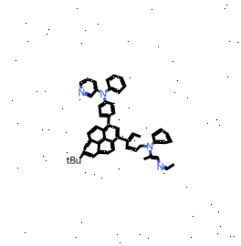 C/C=N\C=C(/C)N(C/C=C\C(=C/C)c1cc(-c2ccc(N(c3ccccc3)c3cccnc3)cc2)c2ccc3cc(C(C)(C)C)cc4ccc1c2c43)c1ccccc1